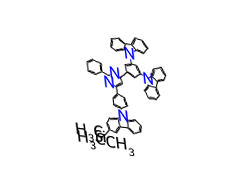 C[Si](C)(C)c1ccc2c(c1)c1ccccc1n2-c1ccc(-c2cc(-c3cc(-n4c5ccccc5c5ccccc54)cc(-n4c5ccccc5c5ccccc54)c3)nc(-c3ccccc3)n2)cc1